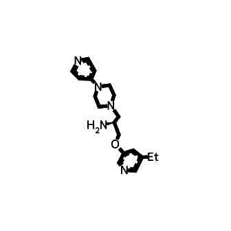 CCc1cncc(OC[C@@H](N)CN2CCN(c3ccncc3)CC2)c1